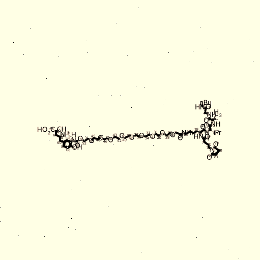 CCCCNC(=O)CNC(=O)[C@H](C)NC(=O)[C@@H](NC(=O)[C@H](CCCCNC(=O)COCCOCCOCCOCCOCCOCCOCCOCCOCCOC(=O)Nc1cc(C[C@H](N)C[C@H](C)C(=O)O)ccc1O)NC(=O)CCCN1C(=O)C=CC1=O)C(C)C